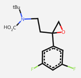 CC(C)(C)N(CCC1(c2cc(F)cc(F)c2)CO1)C(=O)O